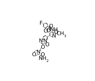 COc1ncc(-c2ccc3ncc(OCCN4CCOCC4C(N)=O)c(=O)n3c2)cc1NS(=O)(=O)c1ccc(F)cc1Cl